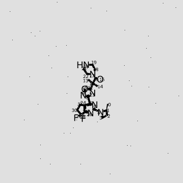 C[C@H]1CCN1c1nc(-c2noc(C(C)(C)C(=O)N3CCNCC3)n2)c2c(n1)C(F)(F)CC2